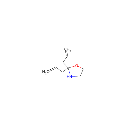 C=CCC1(CC=C)NCCO1